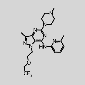 Cc1cccc(Nc2nc(N3CCN(C)CC3)nc3c(C)nn(CCOCC(F)(F)F)c23)n1